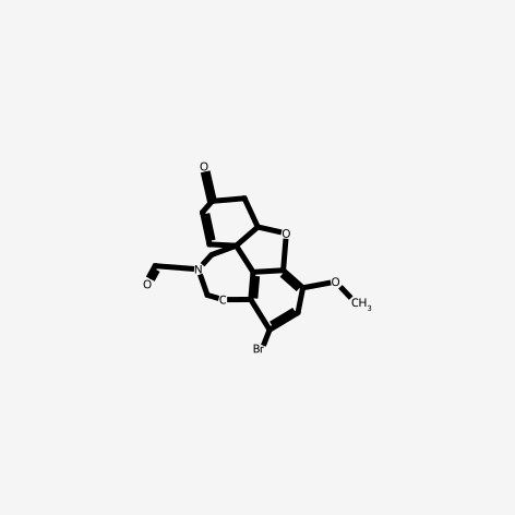 COc1cc(Br)c2c3c1OC1CC(=O)C=CC31CN(C=O)CC2